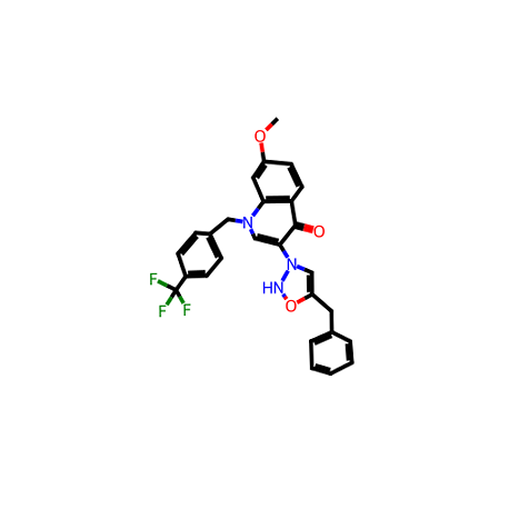 COc1ccc2c(=O)c(N3C=C(Cc4ccccc4)ON3)cn(Cc3ccc(C(F)(F)F)cc3)c2c1